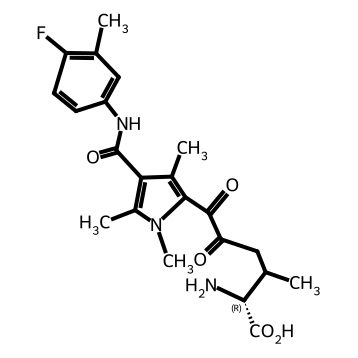 Cc1cc(NC(=O)c2c(C)c(C(=O)C(=O)CC(C)[C@@H](N)C(=O)O)n(C)c2C)ccc1F